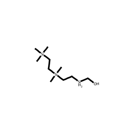 C[Si](C)(C)CC[Si](C)(C)CC[SiH2]CO